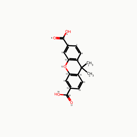 CC1(C)c2ccc(C(=O)O)cc2Oc2cc(C(=O)O)ccc21